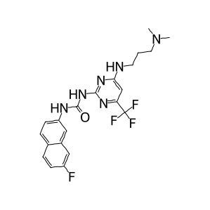 CN(C)CCCNc1cc(C(F)(F)F)nc(NC(=O)Nc2ccc3ccc(F)cc3c2)n1